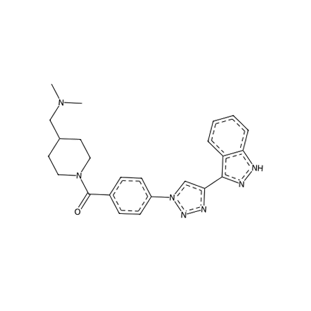 CN(C)CC1CCN(C(=O)c2ccc(-n3cc(-c4n[nH]c5ccccc45)nn3)cc2)CC1